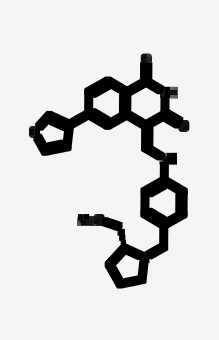 COC[C@H]1CCCN1Cc1ccc(NC=C2C(=O)NC(=O)c3ccc(-c4ccoc4)cc32)cc1